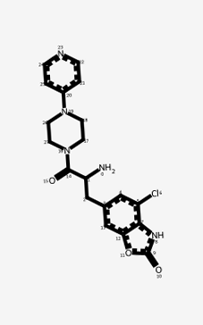 NC(Cc1cc(Cl)c2[nH]c(=O)oc2c1)C(=O)N1CCN(c2ccncc2)CC1